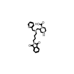 O=C1c2ccccc2C(=O)N1CCCCN(Cc1ccccn1)CC1CNCCN1C(=O)O